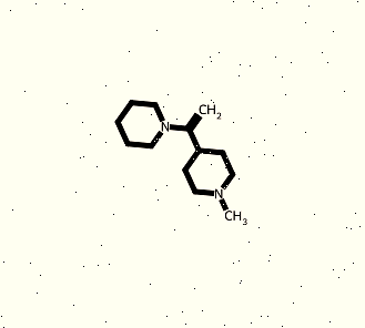 C=C(C1CCN(C)CC1)N1CCCCC1